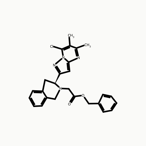 Cc1nc2cc([C@@H]3Cc4ccccc4CN3CC(=O)OCc3ccccc3)nn2c(Cl)c1C